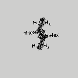 CCCCCCc1ccc(N(c2ccc(-c3ccc(C(C)(C)c4ccccc4)cc3)cc2)c2cc3c4ccccc4c(N(c4ccc(CCCCCC)cc4)c4ccc(-c5ccc(C(C)(C)c6ccccc6)cc5)cc4)cc3c3ccccc23)cc1